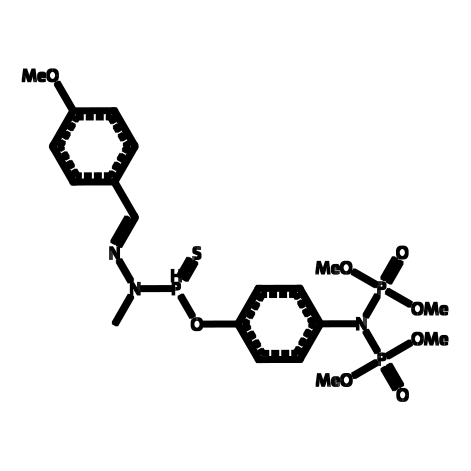 COc1ccc(/C=N/N(C)[PH](=S)Oc2ccc(N(P(=O)(OC)OC)P(=O)(OC)OC)cc2)cc1